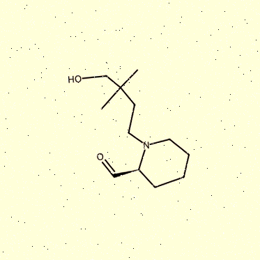 CC(C)(CO)CCN1CCCC[C@H]1C=O